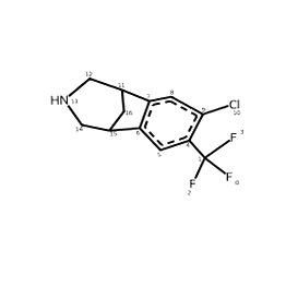 FC(F)(F)c1cc2c(cc1Cl)C1CNCC2C1